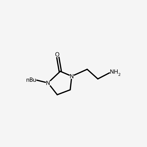 CCCCN1CCN(CCN)C1=O